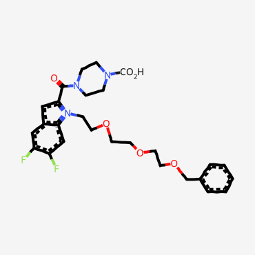 O=C(O)N1CCN(C(=O)c2cc3cc(F)c(F)cc3n2CCOCCOCCOCc2ccccc2)CC1